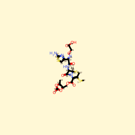 CSC1=C(C(=O)OCc2oc(=O)oc2C)N2C(=O)C(NC(=O)/C(=N/OCC(=O)O)c3csc(N)n3)[C@H]2SC1